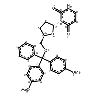 COc1ccc(C(OC[C@H]2[CH]C[C@H](n3c(=O)cc[nH]c3=O)O2)(c2ccccc2)c2ccc(OC)cc2)cc1